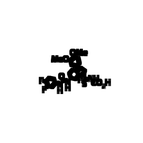 COc1ccc([C@@]23CC[C@@H](NC(=O)Nc4ccc(F)c(F)c4)C[C@@H]2N(C(=S)NC(=O)O)CC3)cc1OC